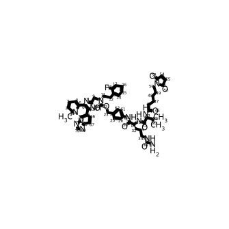 Cc1cccc(-c2nc(CN(CCc3ccccc3F)C(=O)OCc3ccc(NC(=O)[C@H](CCCNC(N)=O)NC(=O)C(NC(=O)CCCCCN4C(=O)C=CC4=O)C(C)C)cc3)[nH]c2-c2ccc3ncnn3c2)n1